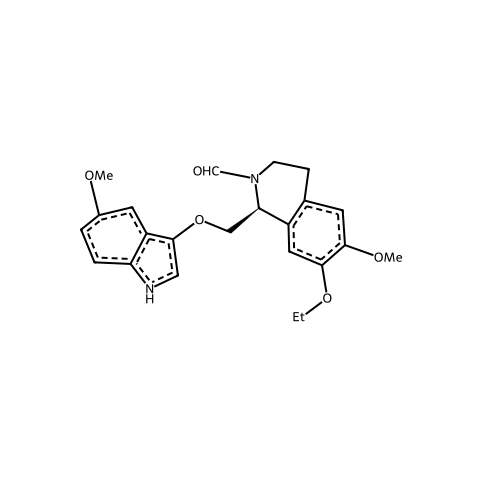 CCOc1cc2c(cc1OC)CCN(C=O)[C@@H]2COc1c[nH]c2ccc(OC)cc12